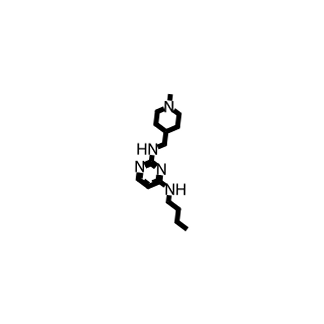 CCCCNc1ccnc(NCC2CCN(C)CC2)n1